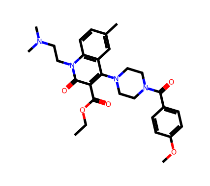 CCOC(=O)c1c(N2CCN(C(=O)c3ccc(OC)cc3)CC2)c2cc(C)ccc2n(CCN(C)C)c1=O